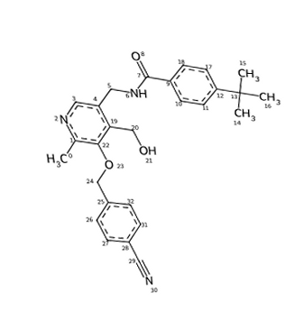 Cc1ncc(CNC(=O)c2ccc(C(C)(C)C)cc2)c(CO)c1OCc1ccc(C#N)cc1